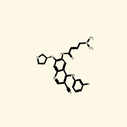 CN(C)C/C=C/C(=O)Nc1cc2c(Nc3cccc(Br)c3)c(C#N)cnc2cc1O[C@H]1CCOC1